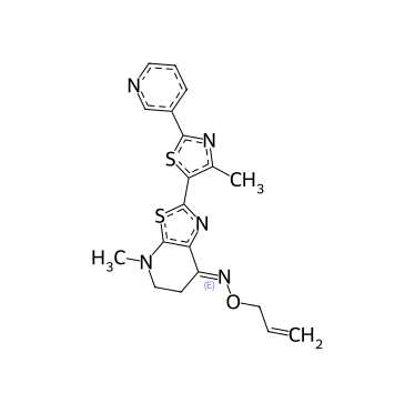 C=CCO/N=C1\CCN(C)c2sc(-c3sc(-c4cccnc4)nc3C)nc21